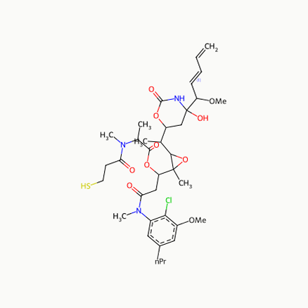 C=C/C=C/C(OC)C1(O)CC(C(C)C2OC2(C)C(CC(=O)N(C)c2cc(CCC)cc(OC)c2Cl)OC(=O)C(C)N(C)C(=O)CCS)OC(=O)N1